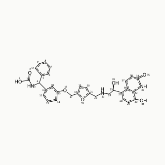 O=C(O)NC(c1ccccc1)c1cccc(OCc2ccc(CNC[C@@H](O)c3ccc(O)c4[nH]c(=O)ccc34)o2)c1